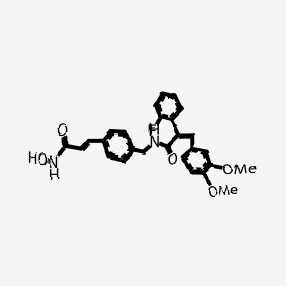 COc1ccc(/C=C(\C(=O)NCc2ccc(/C=C/C(=O)NO)cc2)c2ccccc2F)cc1OC